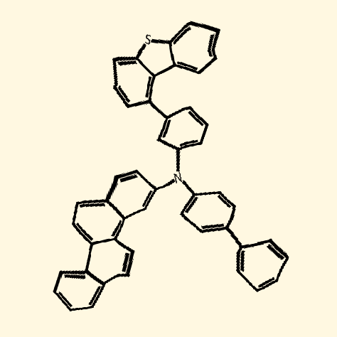 c1ccc(-c2ccc(N(c3cccc(-c4cccc5sc6ccccc6c45)c3)c3ccc4ccc5c6ccccc6ccc5c4c3)cc2)cc1